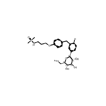 CP(C)(=O)NCCCOc1ccc(Cc2cc([C@@H]3O[C@H](CO)[C@@H](O)[C@H](O)[C@H]3O)ccc2Cl)cc1